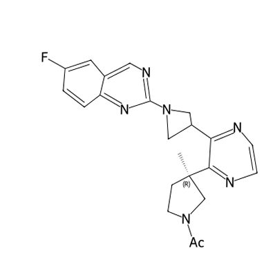 CC(=O)N1CC[C@@](C)(c2nccnc2C2CN(c3ncc4cc(F)ccc4n3)C2)C1